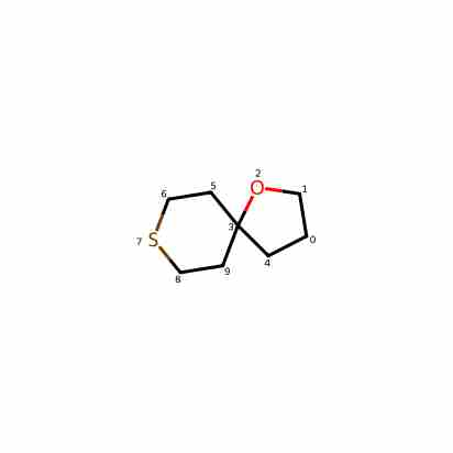 C1COC2(C1)CCSCC2